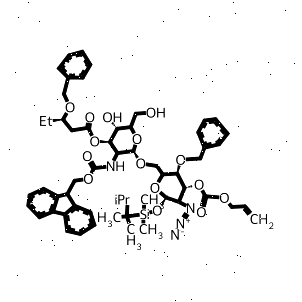 C=CCOC(=O)O[C@@H]1C(N=[N+]=[N-])[C@@H](O[Si](C)(C)C(C)(C)C(C)C)OC(CO[C@@H]2OC(CO)[C@@H](O)[C@H](OC(=O)C[C@@H](CC)OCc3ccccc3)C2NC(=O)OCC2c3ccccc3-c3ccccc32)[C@H]1OCc1ccccc1